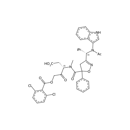 CC(=O)N(c1c[nH]c2ccccc12)[C@H](C1=NOC(C(=O)N(C)[C@@H](CC(=O)O)C(=O)COC(=O)c2c(Cl)cccc2Cl)(c2ccccc2)C1)C(C)C